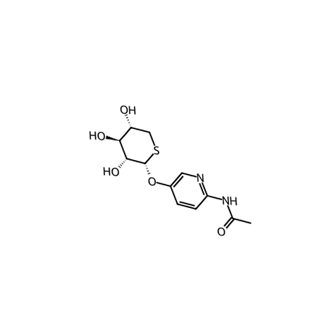 CC(=O)Nc1ccc(O[C@H]2SC[C@@H](O)[C@H](O)[C@H]2O)cn1